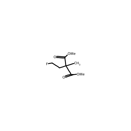 COC(=O)C(C)(CCF)C(=O)OC